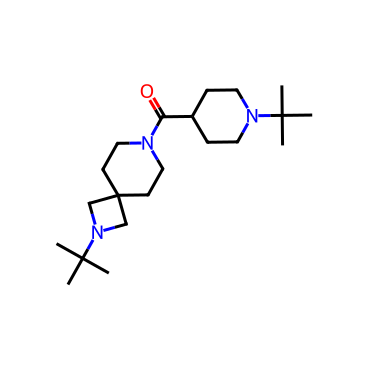 CC(C)(C)N1CCC(C(=O)N2CCC3(CC2)CN(C(C)(C)C)C3)CC1